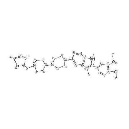 COc1ccc(-c2[nH]c3ccc(C4CCN(C5CCN(Cc6nccs6)CC5)CC4)cc3c2C)cc1OC